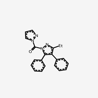 CCc1nn(C(=O)n2cccn2)c(-c2ccccc2)c1-c1ccccc1